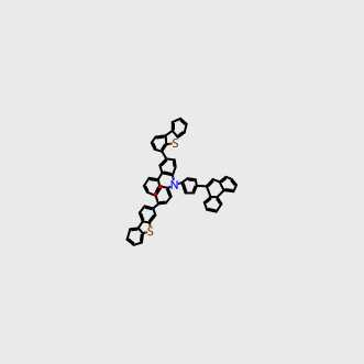 c1ccc(-c2cc(-c3cccc4c3sc3ccccc34)ccc2N(c2ccc(-c3ccc4c(c3)sc3ccccc34)cc2)c2ccc(-c3cc4ccccc4c4ccccc34)cc2)cc1